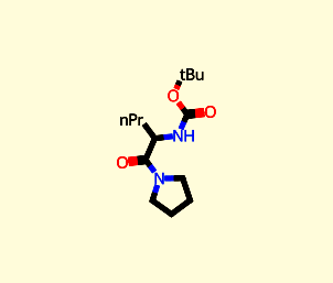 CCCC(NC(=O)OC(C)(C)C)C(=O)N1CCCC1